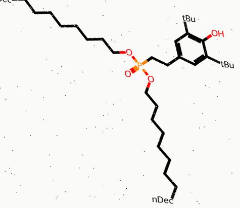 CCCCCCCCCCCCCCCCCCOP(=O)(CCc1cc(C(C)(C)C)c(O)c(C(C)(C)C)c1)OCCCCCCCCCCCCCCCCCC